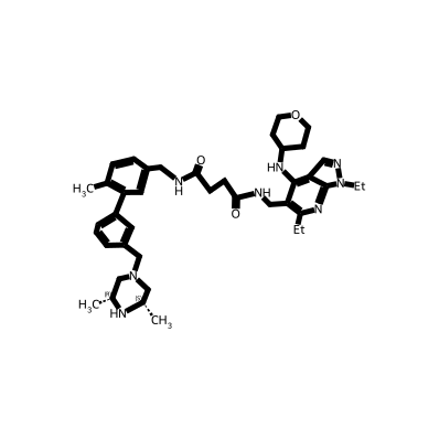 CCc1nc2c(cnn2CC)c(NC2CCOCC2)c1CNC(=O)CCC(=O)NCc1ccc(C)c(-c2cccc(CN3C[C@@H](C)N[C@@H](C)C3)c2)c1